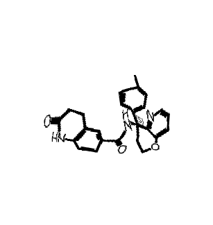 Cc1ccc([C@@]2(NC(=O)c3ccc4c(c3)CCC(=O)N4)CCOc3cccnc32)cc1